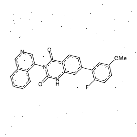 COc1ccc(F)c(-c2ccc3c(=O)n(-c4cncc5ccccc45)c(=O)[nH]c3c2)c1